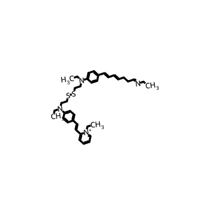 CC/N=C/CC/C=C/C=C/c1ccc(N(CC)CCSSCCN(CC)c2ccc(/C=C/c3cccc[n+]3CC)cc2)cc1